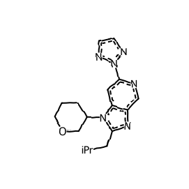 CC(C)Cc1nc2cnc(-n3nccn3)cc2n1C1CCCOC1